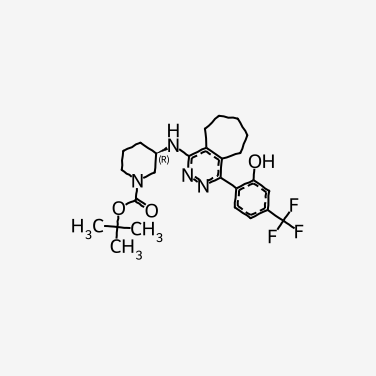 CC(C)(C)OC(=O)N1CCC[C@@H](Nc2nnc(-c3ccc(C(F)(F)F)cc3O)c3c2CCCCC3)C1